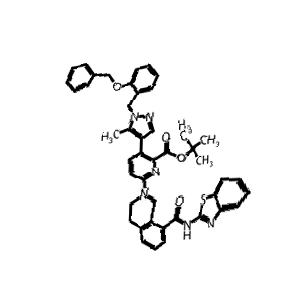 Cc1c(-c2ccc(N3CCc4cccc(C(=O)Nc5nc6ccccc6s5)c4C3)nc2C(=O)OC(C)(C)C)cnn1Cc1ccccc1OCc1ccccc1